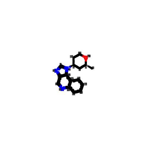 C[C@@H]1C[C@H](n2cnc3cnc4ccccc4c32)CCO1